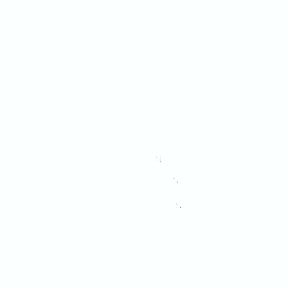 C1=C(c2cc(-c3ccccc3)c3oc4cc5c(cc4c3c2)oc2ccccc25)/N=C(c2ccccc2)\N=C(\n2c3ccccc3c3ccccc32)CC\1